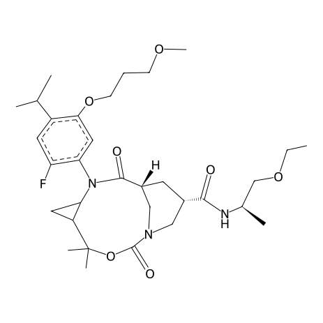 CCOC[C@@H](C)NC(=O)[C@H]1C[C@@H]2CN(C1)C(=O)OC(C)(C)C1CC1N(c1cc(OCCCOC)c(C(C)C)cc1F)C2=O